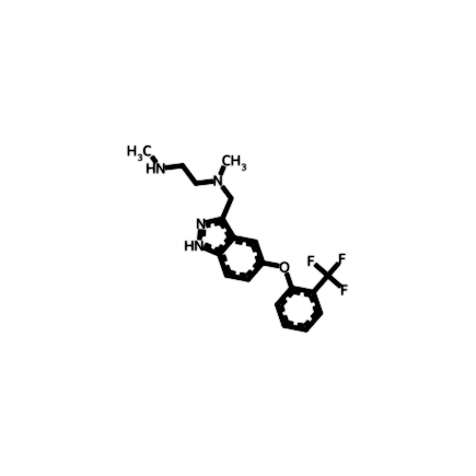 CNCCN(C)Cc1n[nH]c2ccc(Oc3ccccc3C(F)(F)F)cc12